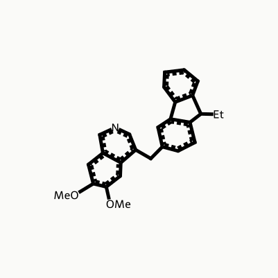 CCC1c2ccccc2-c2cc(Cc3cncc4cc(OC)c(OC)cc34)ccc21